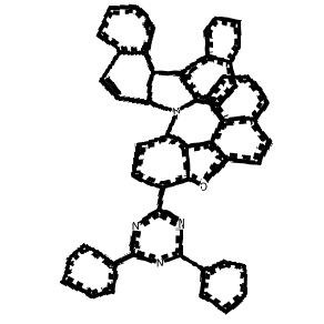 C1=CC2C(c3ccccc31)c1c(ccc3ccccc13)N2c1ccc(-c2nc(-c3ccccc3)nc(-c3ccccc3)n2)c2oc3ccc4ccccc4c3c12